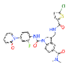 CN(C)C(=O)c1ccc2c(c1)C(CNC(=O)c1ccc(Cl)s1)CN2C(=O)Nc1ccc(-n2ccccc2=O)cc1F